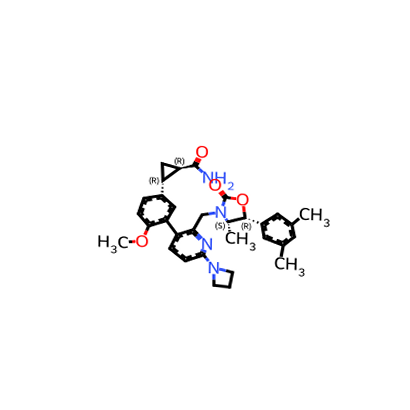 COc1ccc([C@@H]2C[C@H]2C(N)=O)cc1-c1ccc(N2CCC2)nc1CN1C(=O)O[C@H](c2cc(C)cc(C)c2)[C@@H]1C